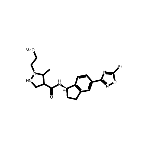 CCc1nc(-c2ccc3c(c2)CC[C@H]3NC(=O)C2CNN(CCOC)C2C)no1